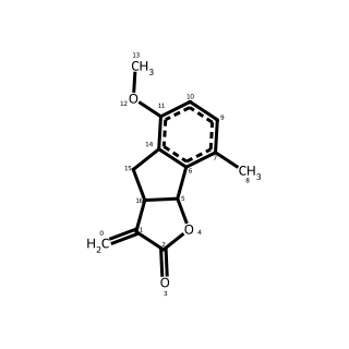 C=C1C(=O)OC2c3c(C)ccc(OC)c3CC12